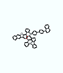 c1ccc(N(c2ccc(-c3ccc(-c4cccc5ccccc45)cc3)cc2)c2ccc(-c3ccccc3-n3c4ccccc4c4ccccc43)cc2)c(-c2cccc3c2oc2cc4ccccc4cc23)c1